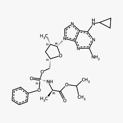 CC(C)OC(=O)[C@@H](C)N[P@](=O)(OC[C@@H]1C[C@H](C)[C@H](n2cnc3c(NC4CC4)nc(N)nc32)O1)Oc1ccccc1